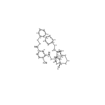 N#Cc1cnc(NCCc2ccccc2)nc1NCC1C[C@H]2CCC[C@@H](C1)[C@@H]2NC(=O)OCc1ccccc1